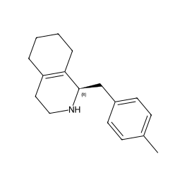 Cc1ccc(C[C@H]2NCCC3=C2CCCC3)cc1